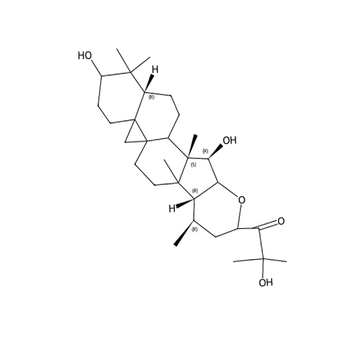 C[C@@H]1CC(C(=O)C(C)(C)O)OC2[C@H]1C1(C)CCC34CC35CCC(O)C(C)(C)[C@@H]5CCC4[C@]1(C)[C@H]2O